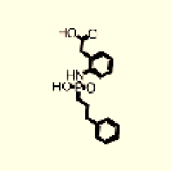 O=C(O)Cc1ccccc1NP(=O)(O)CCCc1ccccc1